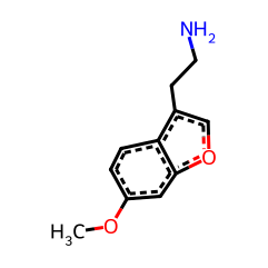 COc1ccc2c(CCN)coc2c1